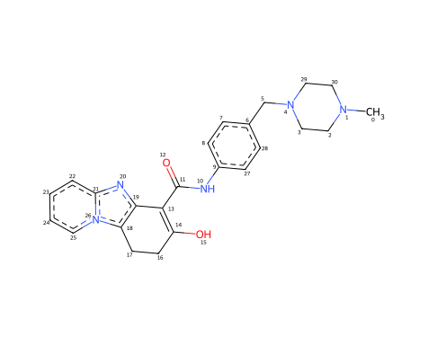 CN1CCN(Cc2ccc(NC(=O)C3=C(O)CCc4c3nc3ccccn43)cc2)CC1